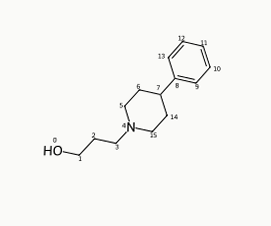 OCCCN1CCC(c2ccccc2)CC1